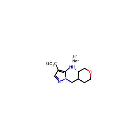 CCOC(=O)c1cnn(CC2CCOCC2)c1N.[H-].[Na+]